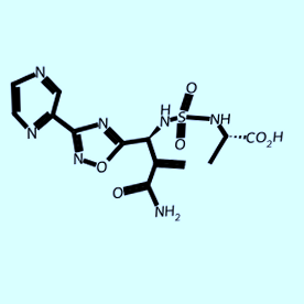 C=C(C(N)=O)[C@H](NS(=O)(=O)N[C@@H](C)C(=O)O)c1nc(-c2cnccn2)no1